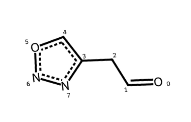 O=CCc1conn1